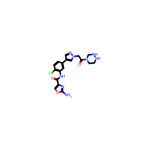 Nc1nc(C(=O)Nc2cc(-c3cnn(CC(=O)N4CCNNC4)c3)ccc2Cl)co1